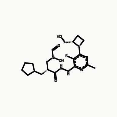 Cc1nc(NNC(=O)[C@H](CC2CCCC2)CN(O)C=O)c(F)c(N2CC[C@H]2CO)n1